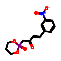 O=C(C=Cc1cccc([N+](=O)[O-])c1)CP1(=O)OCCCO1